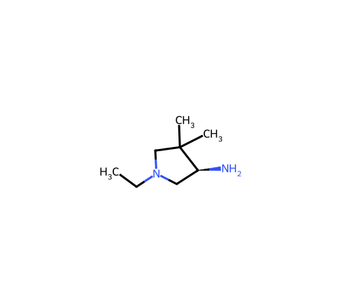 CCN1C[C@H](N)C(C)(C)C1